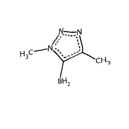 Bc1c(C)nnn1C